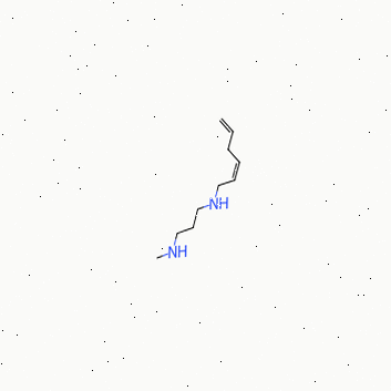 C=CC/C=C\CNCCCNC